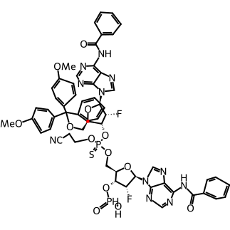 COc1ccc(C(OC[C@H]2O[C@@H](n3cnc4c(NC(=O)c5ccccc5)ncnc43)[C@H](F)[C@@H]2OP(=S)(OCCC#N)OC[C@H]2O[C@@H](n3cnc4c(NC(=O)c5ccccc5)ncnc43)[C@H](F)[C@@H]2O[PH](=O)O)(c2ccccc2)c2ccc(OC)cc2)cc1